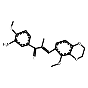 COc1ccc(C(=O)/C(C)=C/c2ccc3c(c2OC)OCCO3)cc1N